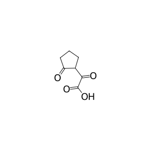 O=C(O)C(=O)C1CCCC1=O